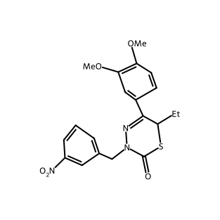 CCC1SC(=O)N(Cc2cccc([N+](=O)[O-])c2)N=C1c1ccc(OC)c(OC)c1